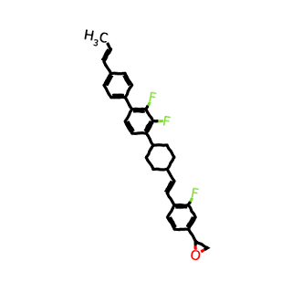 C/C=C/c1ccc(-c2ccc(C3CCC(/C=C/c4ccc(C5CO5)cc4F)CC3)c(F)c2F)cc1